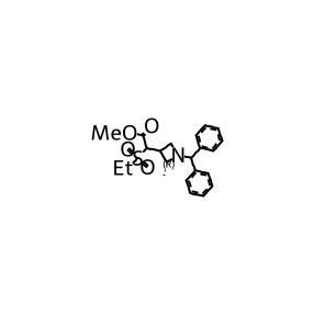 CCS(=O)(=O)C(C(=O)OC)C1CN(C(c2ccccc2)c2ccccc2)[C@@H]1C